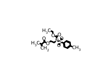 C=C(C)C(=O)OCCN(C(=O)OCC)S(=O)(=O)c1ccc(C)cc1